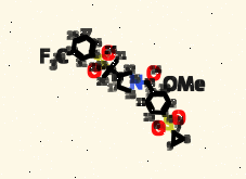 COc1cc(S(=O)(=O)C2CC2)ccc1C(=O)N1CC[C@@H](C(C)(C)S(=O)(=O)c2cccc(C(F)(F)F)c2)C1